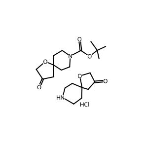 CC(C)(C)OC(=O)N1CCC2(CC1)CC(=O)CO2.Cl.O=C1COC2(CCNCC2)C1